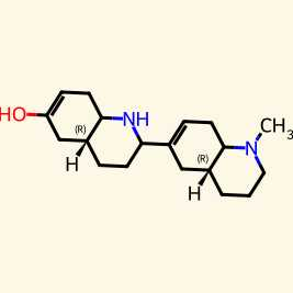 CN1CCC[C@@H]2CC(C3CC[C@@H]4CC(O)=CCC4N3)=CCC21